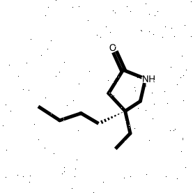 CCCC[C@@]1(CC)CNC(=O)C1